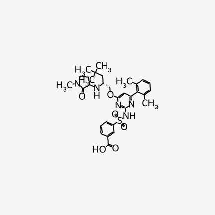 Cc1cccc(C)c1-c1cc(OC[C@@H](CC(C)(C)C)NC2CCN(C)C2=O)nc(NS(=O)(=O)c2cccc(C(=O)O)c2)n1